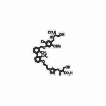 COc1cc(OCc2cccc(-c3cccc(OCCCn4cc(CNC(CO)C(=O)O)nn4)c3C)c2C)c(Cl)cc1CN[C@@H](CO)C(=O)O